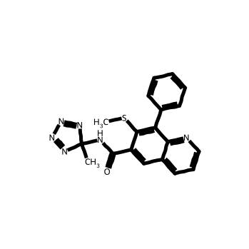 CSc1c(C(=O)NC2(C)N=NN=N2)cc2cccnc2c1-c1ccccc1